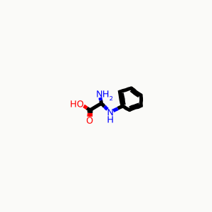 NC(Nc1ccccc1)C(=O)O